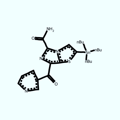 CCC[CH2][Sn]([CH2]CCC)([CH2]CCC)[c]1cn2c(C(N)=O)nc(C(=O)c3cccnc3)c2s1